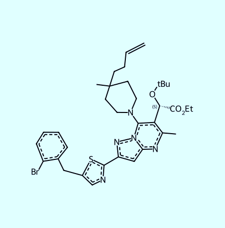 C=CCCC1(C)CCN(c2c([C@H](OC(C)(C)C)C(=O)OCC)c(C)nc3cc(-c4ncc(Cc5ccccc5Br)s4)nn23)CC1